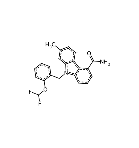 Cc1c[c]c2c3c(C(N)=O)cccc3n(Cc3ccccc3OC(F)F)c2c1